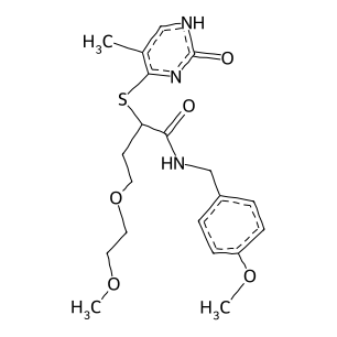 COCCOCCC(Sc1nc(=O)[nH]cc1C)C(=O)NCc1ccc(OC)cc1